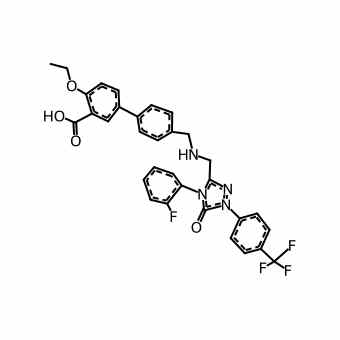 CCOc1ccc(-c2ccc(CNCc3nn(-c4ccc(C(F)(F)F)cc4)c(=O)n3-c3ccccc3F)cc2)cc1C(=O)O